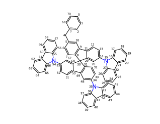 c1ccc(Cc2ccc3c(c2)-c2ccc(-n4c5ccccc5c5ccccc54)cc2C32c3ccc(-n4c5ccccc5c5ccccc54)cc3-c3ccc(-n4c5ccccc5c5ccccc54)cc32)cc1